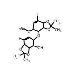 CCCCOC1C=C(I)C2OC(C)(C)OC2[C@@H]1OC1C=C(I)C2OC(C)(C)OC2[C@@H]1O